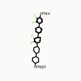 CCCCCCCC1CCC(C2CCC(c3ccc(-c4ccc(-c5ccc(CCCCCC)c(F)c5F)cc4)c(F)c3F)CC2)CC1